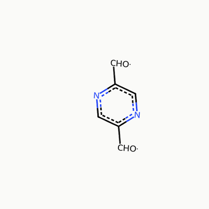 O=[C]c1cnc([C]=O)cn1